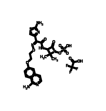 CC1(C)C(NC(=O)C(=NOCCOc2ccc3c(N)nccc3c2)c2csc(N)n2)C(=O)N1OS(=O)(=O)O.O=C(O)C(F)(F)F